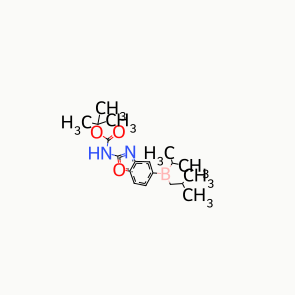 CC(C)CB(c1ccc2oc(NC(=O)OC(C)(C)C)nc2c1)C(C)C